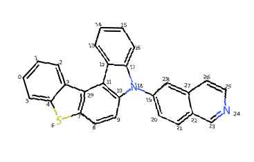 c1ccc2c(c1)sc1ccc3c(c4ccccc4n3-c3ccc4cnccc4c3)c12